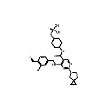 O=Cc1ccc(CNc2nc(N3CCC4(CC4)C3)ncc2C(=O)NC2CCC(OP(=O)(O)O)CC2)cc1Cl